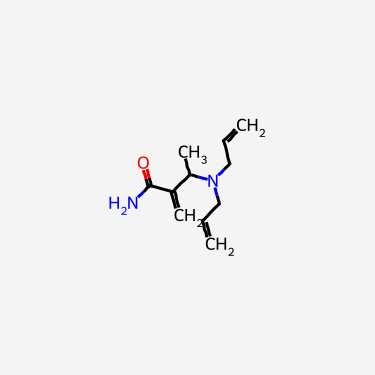 C=CCN(CC=C)C(C)C(=C)C(N)=O